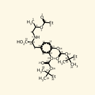 CCC(=O)OC(C)CN[C@@H](Cc1ccc(OC(=O)OC(C)(C)CC)c(OC(=O)OC(C)(C)CC)c1)C(=O)O